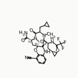 CN(C(=O)C(CC1CC1)NC(=O)C(F)(F)F)C(CC1CC1)C(=O)N1C[C@@]2(C[C@H]1C(N)=O)Oc1c(C#N)cccc1NC2=O